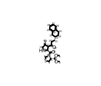 COC(OC)[C@@H]1CSCN1C(=O)[C@H]1NCC(=S)C1C(=O)CC[C@H]1CCc2ccccc2C1